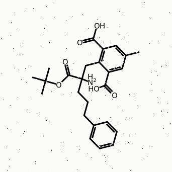 Cc1cc(C(=O)O)c(CC(N)(CCCc2ccccc2)C(=O)OC(C)(C)C)c(C(=O)O)c1